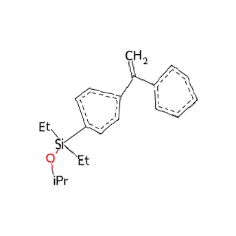 C=C(c1ccccc1)c1ccc([Si](CC)(CC)OC(C)C)cc1